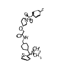 CN(C)C(c1cccs1)C1CCC(CNC(=O)COC2CCN(S(=O)(=O)c3ccc(F)cc3)C2)CC1